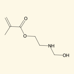 C=C(C)C(=O)OCCNCO